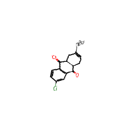 CCCCC1=CCC2C(=O)c3cc(Cl)ccc3C(=O)C2C1